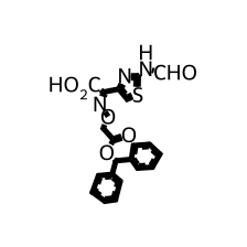 O=CNc1nc(C(=NOCC(=O)OC(c2ccccc2)c2ccccc2)C(=O)O)cs1